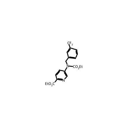 CCOC(=O)c1ccc(N(Cc2cccc(C(F)(F)F)c2)C(=O)OCC)cn1